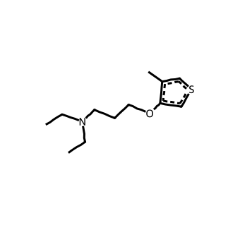 CCN(CC)CCCOc1cscc1C